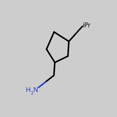 CC(C)C1CCC(CN)C1